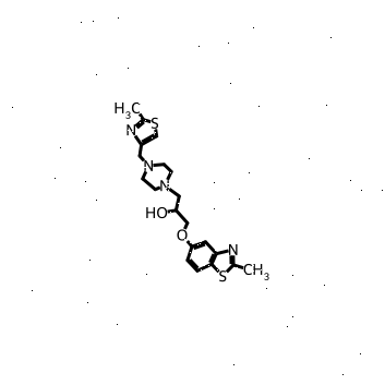 Cc1nc(CN2CCN(CC(O)COc3ccc4sc(C)nc4c3)CC2)cs1